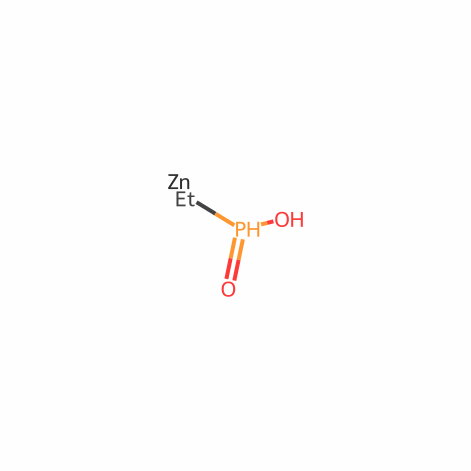 CC[PH](=O)O.[Zn]